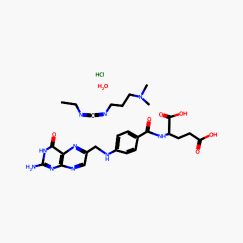 CCN=C=NCCCN(C)C.Cl.Nc1nc2ncc(CNc3ccc(C(=O)NC(CCC(=O)O)C(=O)O)cc3)nc2c(=O)[nH]1.O